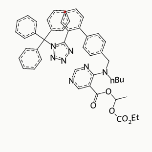 CCCCN(Cc1ccc(-c2ccccc2-c2nnnn2C(c2ccccc2)(c2ccccc2)c2ccccc2)cc1)c1ncncc1C(=O)OC(C)OC(=O)OCC